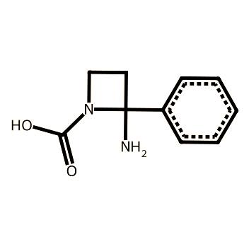 NC1(c2ccccc2)CCN1C(=O)O